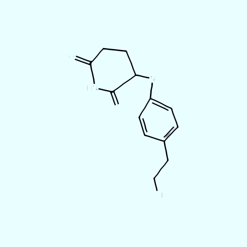 O=C1CCC(Nc2ccc(CCO)cc2)C(=O)N1